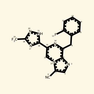 N#Cc1cnc2c(Cc3ccccc3F)nc(-c3nc(C(F)(F)F)n[nH]3)cn12